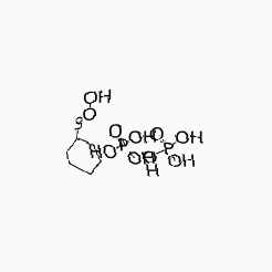 O=P(O)(O)O.O=P(O)(O)O.OOSC1CCCCC1